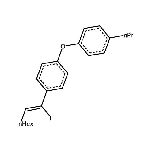 CCCCCCC=C(F)c1ccc(Oc2ccc(CCC)cc2)cc1